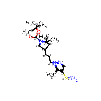 Cc1c(SN)cnn1CCCC1CN(C(=O)OC(C)(C)C)C(C)(C)C1